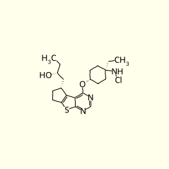 CC[C@@H](O)C[C@H]1CCc2sc3ncnc(O[C@H]4CC[C@](CC)(NCl)CC4)c3c21